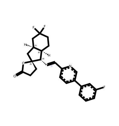 O=C1CC[C@]2(C[C@H]3CC(F)(F)CC[C@H]3[C@@H]2/C=C/c2ccc(-c3cccc(F)c3)cn2)O1